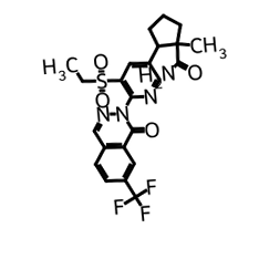 CCS(=O)(=O)c1cc(C2CCCC2(C)C(N)=O)cnc1-n1ncc2ccc(C(F)(F)F)cc2c1=O